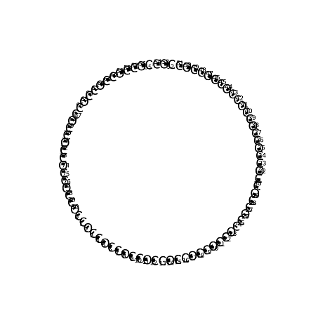 C1COCCOCCOCCOCCOCCOCCOCCOCCOCCOCCOCCOCCOCCOCCOCCOCCOCCOCCOCCOCCOCCOCCOCCOCCOCCOCCO1